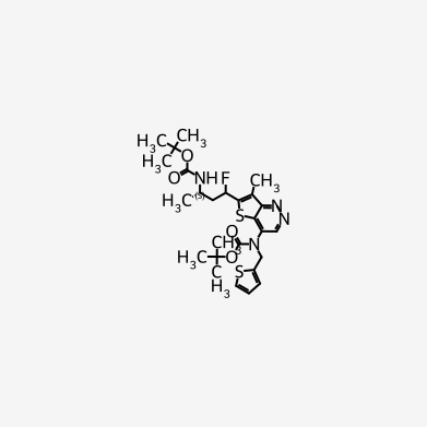 Cc1c(C(F)C[C@H](C)NC(=O)OC(C)(C)C)sc2c(N(Cc3cccs3)C(=O)OC(C)(C)C)cnnc12